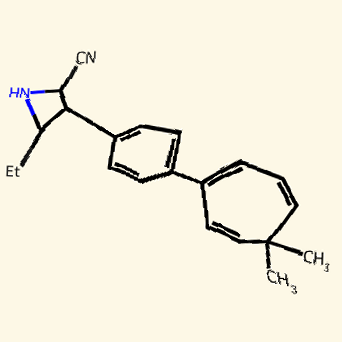 CCC1NC(C#N)C1c1ccc(C2=CC=CC(C)(C)C=C2)cc1